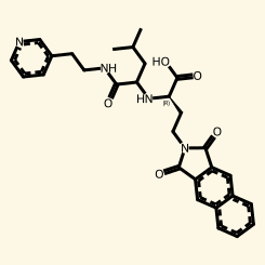 CC(C)CC(N[C@H](CCN1C(=O)c2cc3ccccc3cc2C1=O)C(=O)O)C(=O)NCCc1cccnc1